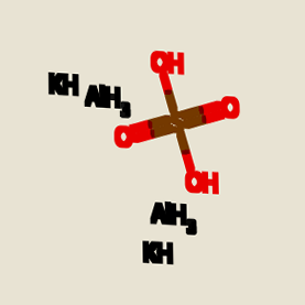 O=S(=O)(O)O.[AlH3].[AlH3].[KH].[KH]